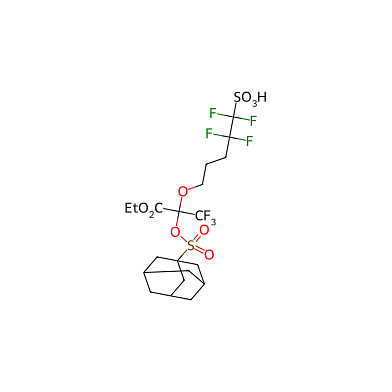 CCOC(=O)C(OCCCC(F)(F)C(F)(F)S(=O)(=O)O)(OS(=O)(=O)C12CC3CC(CC(C3)C1)C2)C(F)(F)F